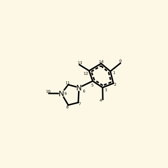 Cc1cc(C)c(N2CCN(C)C2)c(C)c1